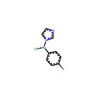 Fc1cc[c]([Au]([Cl])[n]2ccnc2)cc1